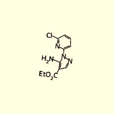 CCOC(=O)c1cnn(-c2cccc(Cl)n2)c1N